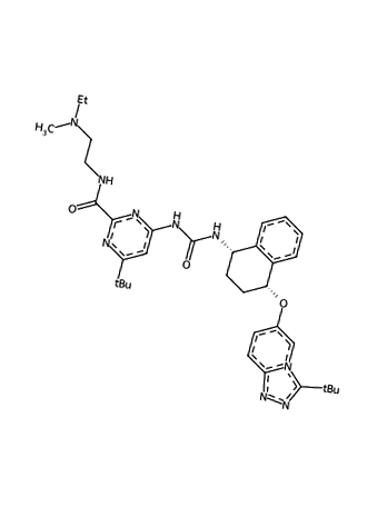 CCN(C)CCNC(=O)c1nc(NC(=O)N[C@H]2CC[C@@H](Oc3ccc4nnc(C(C)(C)C)n4c3)c3ccccc32)cc(C(C)(C)C)n1